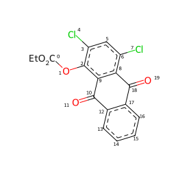 CCOC(=O)Oc1c(Cl)cc(Cl)c2c1C(=O)c1ccccc1C2=O